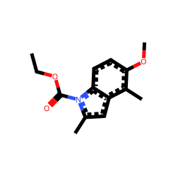 CCOC(=O)n1c(C)cc2c(C)c(OC)ccc21